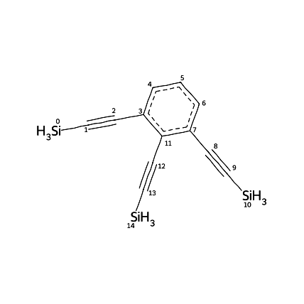 [SiH3]C#Cc1cccc(C#C[SiH3])c1C#C[SiH3]